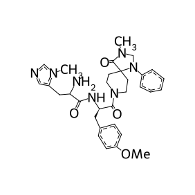 COc1ccc(C[C@@H](NC(=O)C(N)Cc2cncn2C)C(=O)N2CCC3(CC2)C(=O)N(C)CN3c2ccccc2)cc1